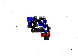 CCS(=O)(=O)N1CCCN(c2nccc(-c3c[nH]c4ncc(OC)cc34)n2)CC1